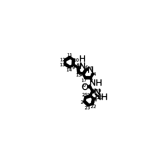 O=C(Nc1cnc2[nH]c(-c3ccccc3)cc2c1)c1n[nH]c2ccccc12